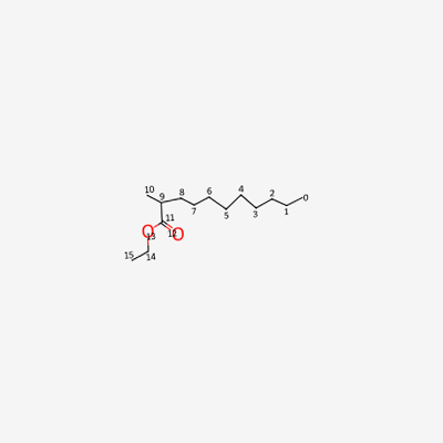 CCCCCCCCCC(C)C(=O)OCC